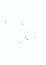 CCOCN1C(N)=NC(N)=NC1N